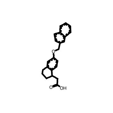 O=C(O)CC1CCCc2cc(OCc3ccc4ccccc4c3)ccc21